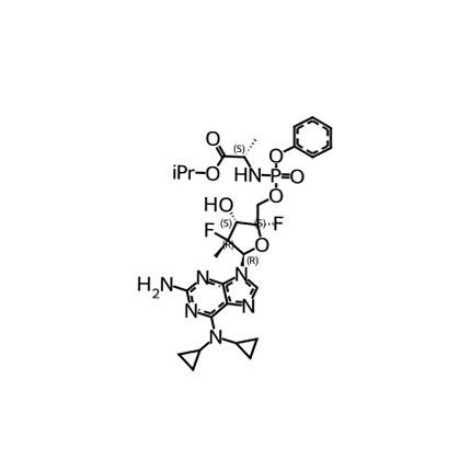 CC(C)OC(=O)[C@H](C)NP(=O)(OC[C@@]1(F)O[C@@H](n2cnc3c(N(C4CC4)C4CC4)nc(N)nc32)[C@](C)(F)[C@@H]1O)Oc1ccccc1